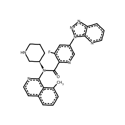 Cc1cccc2ccnc(N(C(=O)c3ncc(-n4nnc5cccnc54)cc3F)[C@@H]3CCCNC3)c12